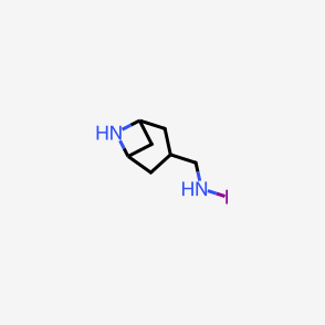 INCC1CC2CC(C1)N2